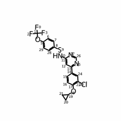 FC(F)(F)Oc1ccc(SNc2cc(-c3ccc(OC4CC4)c(Cl)c3)ncn2)cc1